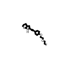 FCCOCCOc1ccc(C#Cc2cc3cccnc3[nH]2)cc1